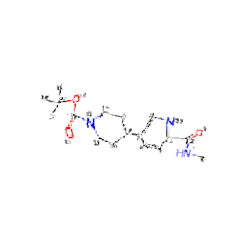 CNC(=O)c1ccc(C2CCN(C(=O)OC(C)(C)C)CC2)cn1